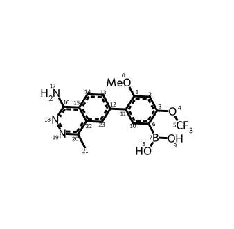 COc1cc(OC(F)(F)F)c(B(O)O)cc1-c1ccc2c(N)nnc(C)c2c1